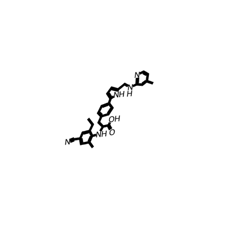 CCc1cc(C#N)cc(C)c1NC(Cc1ccc(-c2ccc(CNc3cc(C)ccn3)[nH]2)cc1)C(=O)O